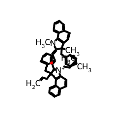 C=CCC1(Cc2ccccc2)C(/C=C/C=C2/N(C)c3c(ccc4ccccc34)C2(C)Cc2ccccc2)=[N+](CCC(C)C)c2ccc3ccccc3c21